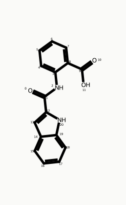 O=C(Nc1ccccc1C(=O)O)c1cc2ccccc2[nH]1